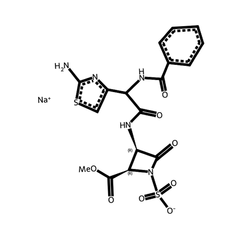 COC(=O)[C@H]1[C@@H](NC(=O)C(NC(=O)c2ccccc2)c2csc(N)n2)C(=O)N1S(=O)(=O)[O-].[Na+]